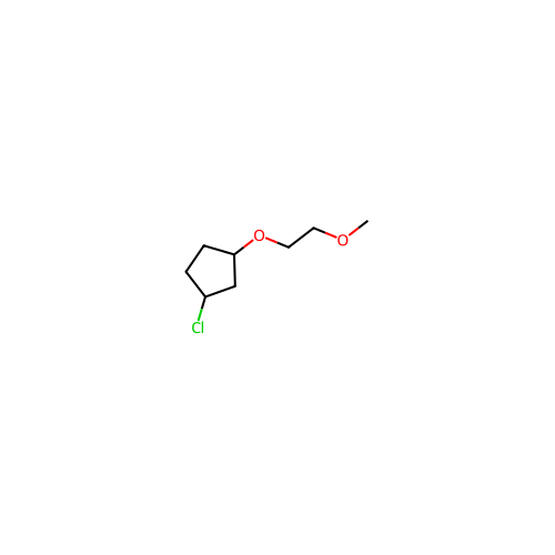 COCCOC1CCC(Cl)C1